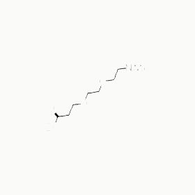 CCC(=O)CCOCCOCCNC